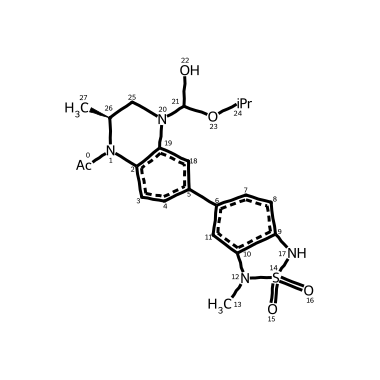 CC(=O)N1c2ccc(-c3ccc4c(c3)N(C)S(=O)(=O)N4)cc2N(C(O)OC(C)C)C[C@@H]1C